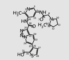 Cc1ncc(NC(=O)CN2CCC[C@@H]2C)cc1NC(=O)c1nnn2cc(-c3ccsc3CO)ccc12